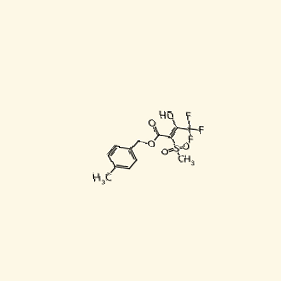 Cc1ccc(COC(=O)/C(=C(\O)C(F)(F)F)S(C)(=O)=O)cc1